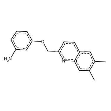 Cc1cc2ccc(COc3cccc(N)c3)nc2cc1C